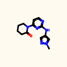 Cn1cc(Nc2nccc(N3CCCCC3=O)n2)cn1